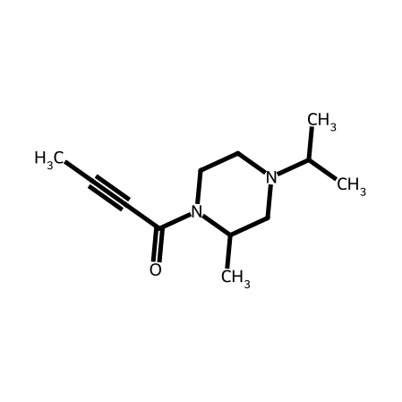 CC#CC(=O)N1CCN(C(C)C)CC1C